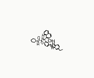 CCc1ccc2nn(-c3cccc(C(NC(=O)C(=O)NC4CCCCC4)c4cccc5ccccc45)c3O)nc2c1